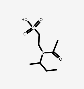 CCC(C)N(CCS(=O)(=O)O)C(C)=O